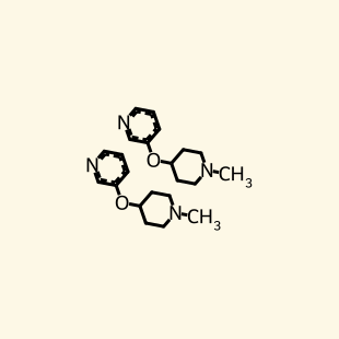 CN1CCC(Oc2cccnc2)CC1.CN1CCC(Oc2cccnc2)CC1